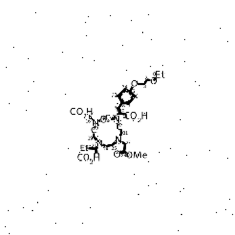 CCOCCOc1ccc(CC(C(=O)O)N2CCN(CC(=O)O)CCN(C(CC)C(=O)O)CCN(CC(=O)OC)CC2)cc1